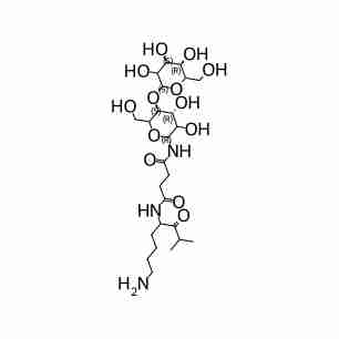 CC(C)C(=O)C(CCCCN)NC(=O)CCC(=O)N[C@@H]1OC(CO)[C@@H](O[C@@H]2OC(CO)[C@H](O)[C@H](O)C2O)[C@H](O)C1O